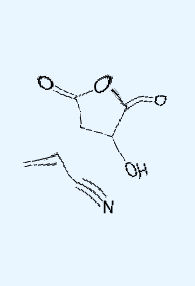 C=CC#N.O=C1CC(O)C(=O)O1